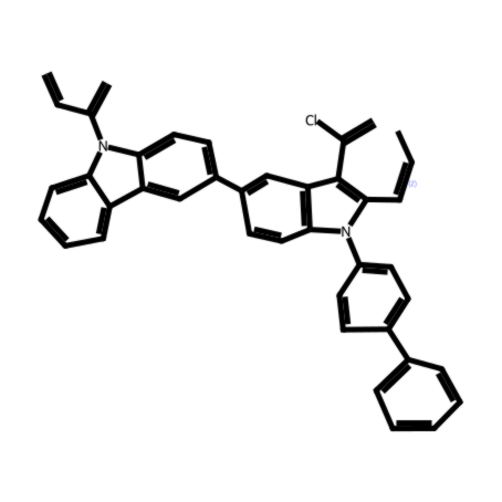 C=CC(=C)n1c2ccccc2c2cc(-c3ccc4c(c3)c(C(=C)Cl)c(/C=C\C)n4-c3ccc(-c4ccccc4)cc3)ccc21